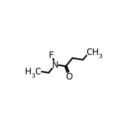 CCCC(=O)N(F)CC